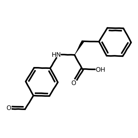 O=Cc1ccc(N[C@@H](Cc2ccccc2)C(=O)O)cc1